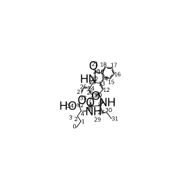 CC[C@H](C)[C@H](NC(=O)[C@@H](NC(=O)/C=C1/c2ccccc2C(=O)N[C@H]1[C@@H](C)CC)[C@@H](C)CC)C(=O)O